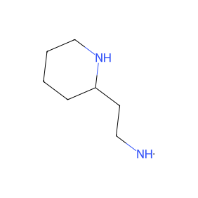 [NH]CCC1CCCCN1